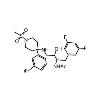 CC(=O)NC(Cc1cc(F)cc(F)c1)C(O)CNC1(c2cccc(C(C)C)c2)CCN(S(C)(=O)=O)CC1